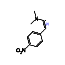 CN(C)/[C]=C\c1ccc([N+](=O)[O-])cc1